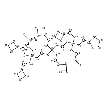 C=COCC(COCC(COCC(COC(=C)C)(COC1CCC1)COC1CCC1)(COC1CCC1)COC1CCC1)(COC1CCCC1)COC1CCC1